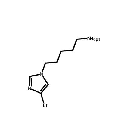 [CH2]Cc1cn(CCCCCCCCCCCC)cn1